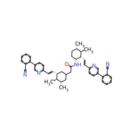 C[C@H]1[C@H](/C=C/c2ccc(-c3ccccc3C#N)cn2)[C@H](NC(=O)CC2C[C@@H](/C=C/c3ccc(-c4ccccc4C#N)cn3)[C@H](C)[C@@H](C)C2)CC[C@@H]1C